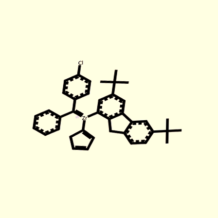 CC(C)(C)c1ccc2c(c1)-c1cc(C(C)(C)C)c[c](/[Zr]([C]3=CC=CC3)=[C](/c3ccccc3)c3ccc(Cl)cc3)c1C2